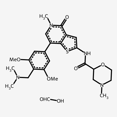 COc1cc(-c2cn(C)c(=O)c3cc(NC(=O)C4CN(C)CCO4)sc23)cc(OC)c1CN(C)C.O=CO